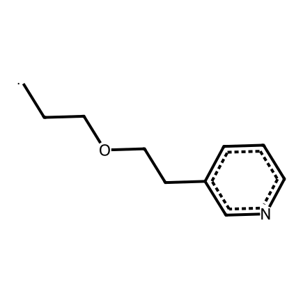 [CH2]CCOCCc1cccnc1